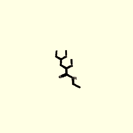 CCNC(=O)C(CC(CC)SC)SC